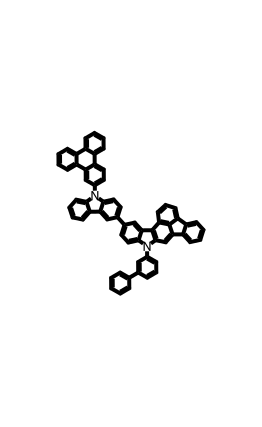 c1ccc(-c2cccc(-n3c4ccc(-c5ccc6c(c5)c5ccccc5n6-c5ccc6c7ccccc7c7ccccc7c6c5)cc4c4c5cccc6c5c(cc43)-c3ccccc3-6)c2)cc1